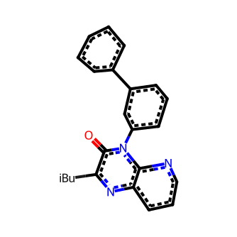 CCC(C)c1nc2cccnc2n(-c2cccc(-c3ccccc3)c2)c1=O